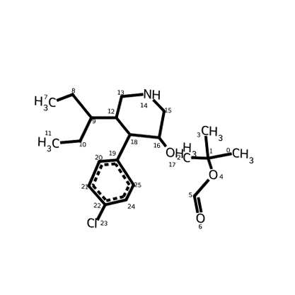 CC(C)(C)OC=O.CCC(CC)C1CNCC(O)C1c1ccc(Cl)cc1